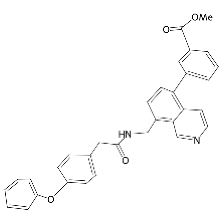 COC(=O)c1cccc(-c2ccc(CNC(=O)Cc3ccc(Oc4ccccc4)cc3)c3cnccc23)c1